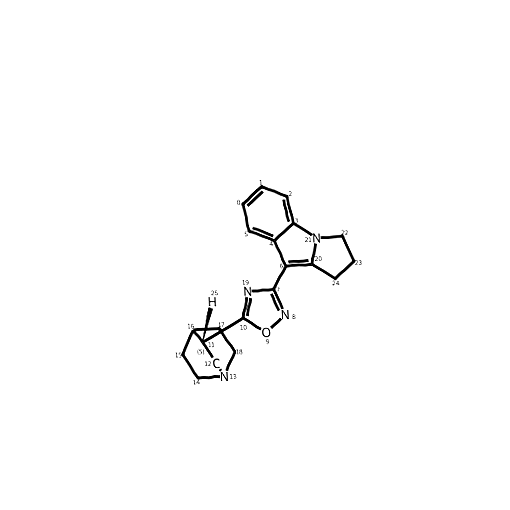 c1ccc2c(c1)c(-c1noc([C@@H]3CN4CCC3CC4)n1)c1n2CCC1